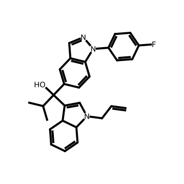 C=CCN1C=C(C(O)(c2ccc3c(cnn3-c3ccc(F)cc3)c2)C(C)C)C2C=CC=CC21